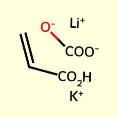 C=CC(=O)O.O=C([O-])[O-].[K+].[Li+]